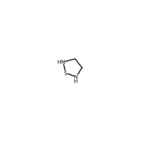 [CH]1CNSN1